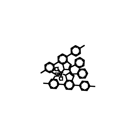 Cc1ccc(-c2ccc(-c3ccc(C)cc3)c3c2C=C(Cc2ccccc2)[CH]3[Zr]([Cl])([Cl])([CH]2C(Cc3ccccc3)=Cc3c(-c4ccc(C)cc4)ccc(-c4ccc(C)cc4)c32)[SiH](C)C)cc1